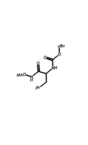 CCCCOC(=O)NC(CC(C)C)C(=O)NOC